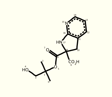 CC(C)(CO)OC(=O)C1(C(=O)O)Cc2cccnc2N1